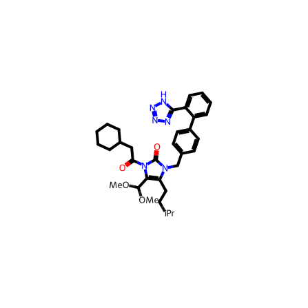 COC(OC)c1c(CCC(C)C)n(Cc2ccc(-c3ccccc3-c3nnn[nH]3)cc2)c(=O)n1C(=O)CC1CCCCC1